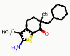 N#CC1(CC2CCCCC2)CCc2c(sc(N)c2C(=O)O)C1=O